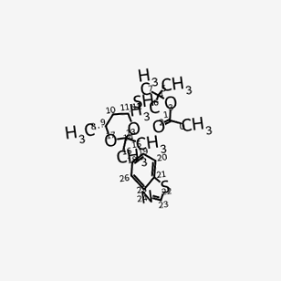 CC(=O)OC(C)(C)C.C[C@@H]1C[C@H](S)OC(C)(C)O1.c1ccc2scnc2c1